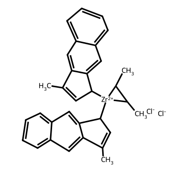 CC1=C[CH]([Zr+2]2([CH]3C=C(C)c4cc5ccccc5cc43)[CH](C)[CH]2C)c2cc3ccccc3cc21.[Cl-].[Cl-]